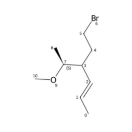 CC=CC(CCBr)[C@H](C)OC